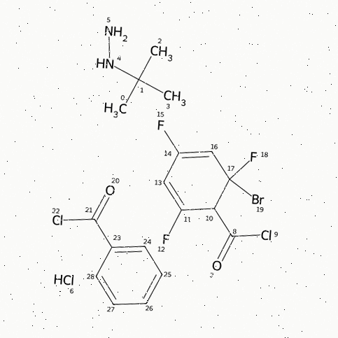 CC(C)(C)NN.Cl.O=C(Cl)C1C(F)=CC(F)=CC1(F)Br.O=C(Cl)c1ccccc1